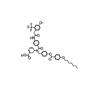 CCCCCCCOc1ccc(C(=O)Oc2ccc(CN(C(=O)c3ccc(NC(=O)Cc4ccc(OC)cc4C(F)(F)F)cc3)C3C=CC=C(C(=O)O)C3)cc2)cc1